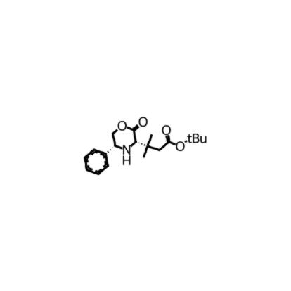 CC(C)(C)OC(=O)CC(C)(C)[C@@H]1N[C@H](c2ccccc2)COC1=O